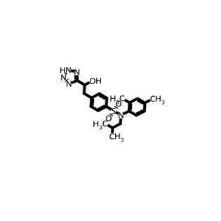 Cc1ccc(N(CC(C)C)S(=O)(=O)c2ccc(CC(O)c3nn[nH]n3)cc2)c(C)c1